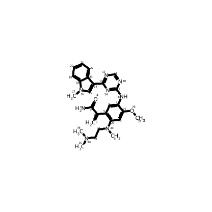 C=C(C(N)=O)c1cc(Nc2ncnc(-c3cn(C)c4ccccc34)n2)c(OC)cc1N(C)CCN(C)C